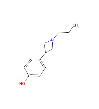 CCCN1CC(c2ccc(O)cc2)C1